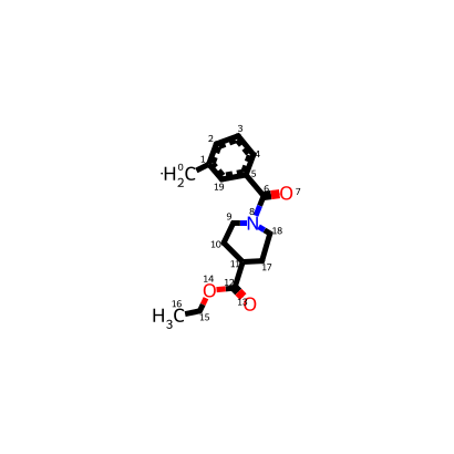 [CH2]c1cccc(C(=O)N2CCC(C(=O)OCC)CC2)c1